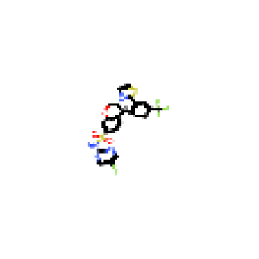 O=S(=O)(Nc1ncc(F)cn1)c1ccc2c(c1)OCC[C@H]2c1ccc(C(F)(F)F)cc1-c1nccs1